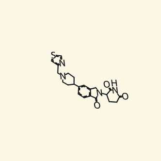 O=C1CCC(N2Cc3cc(C4CCN(Cc5cscn5)CC4)ccc3C2=O)C(=O)N1